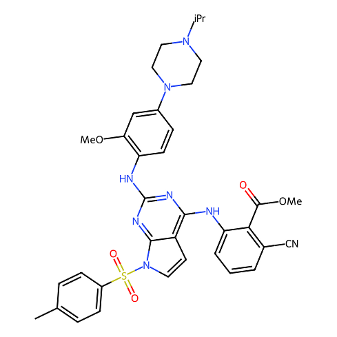 COC(=O)c1c(C#N)cccc1Nc1nc(Nc2ccc(N3CCN(C(C)C)CC3)cc2OC)nc2c1ccn2S(=O)(=O)c1ccc(C)cc1